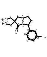 CCC1(CO)CN2CCC(c3cccc(F)c3)N2C1=O